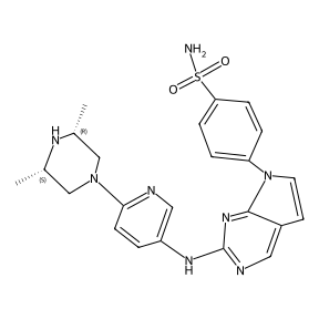 C[C@@H]1CN(c2ccc(Nc3ncc4ccn(-c5ccc(S(N)(=O)=O)cc5)c4n3)cn2)C[C@H](C)N1